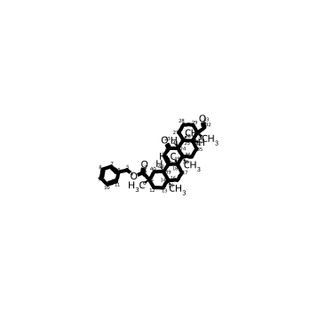 C[C@]1(C(=O)OCc2ccccc2)CC[C@]2(C)CC[C@]3(C)C(=CC(=O)[C@@H]4[C@@]5(C)CCC[C@](C)(C=O)[C@@H]5CC[C@]43C)[C@@H]2C1